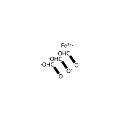 O=[C][O-].O=[C][O-].O=[C][O-].[Fe+3]